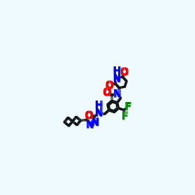 O=C1CCC(N2Cc3c(cc(CNc4nnc(C5CC6(CCC6)C5)o4)cc3C(F)F)C2=O)C(=O)N1